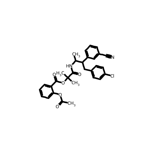 CC(=O)Oc1ccccc1C(=O)OC(C)(C)C(=O)NC(C)C(Cc1ccc(Cl)cc1)c1cccc(C#N)c1